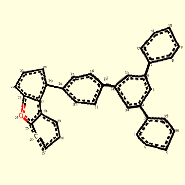 c1ccc(-c2cc(-c3ccccc3)cc(-c3ccc(-c4cccc5oc6ccccc6c45)cc3)c2)cc1